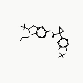 CC1(F)Oc2ccc(C3(C(=O)Nc4ccc5c(c4)CC(C(C)(C)C)N5CCCl)CC3)cc2O1